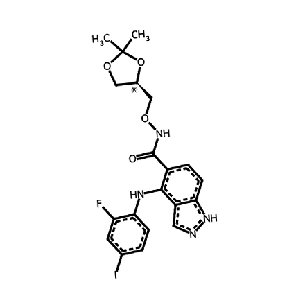 CC1(C)OC[C@H](CONC(=O)c2ccc3[nH]ncc3c2Nc2ccc(I)cc2F)O1